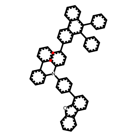 c1ccc(-c2ccccc2N(c2ccc(-c3ccc4c(c3)c(-c3ccccc3)c(-c3ccccc3)c3ccccc34)cc2)c2ccc(-c3cccc4c3oc3ccccc34)cc2)cc1